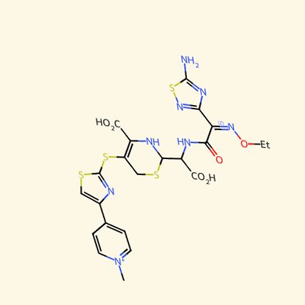 CCO/N=C(\C(=O)NC(C(=O)O)C1NC(C(=O)O)=C(Sc2nc(-c3cc[n+](C)cc3)cs2)CS1)c1nsc(N)n1